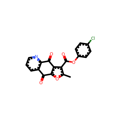 Cc1oc2c(c1C(=O)Oc1ccc(Cl)cc1)C(=O)c1ncccc1C2=O